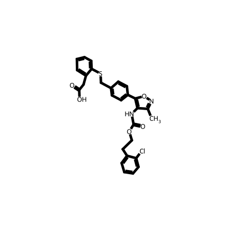 Cc1noc(-c2ccc(CSc3ccccc3CC(=O)O)cc2)c1NC(=O)OCCc1ccccc1Cl